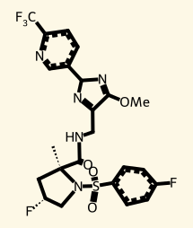 COC1=NC(c2ccc(C(F)(F)F)nc2)N=C1CNC(=O)[C@]1(C)C[C@@H](F)CN1S(=O)(=O)c1ccc(F)cc1